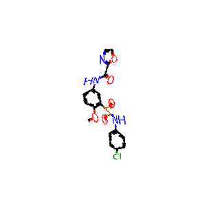 COc1ccc(NC(=O)c2ncco2)cc1S(=O)(=O)Nc1ccc(Cl)cc1